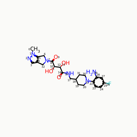 Cn1ncc2c1CN(C(=O)[C@H](O)[C@@H](O)C(=O)NCC1CCN(c3ccc(F)cc3N)CC1)C2